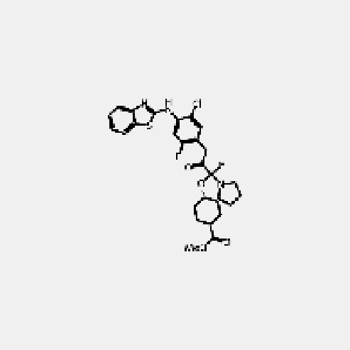 COC(=O)[C@H]1CC[C@H](OC(F)(C(=O)Cc2cc(Cl)c(Nc3nc4ccccc4s3)cc2F)N2CCCC2)CC1